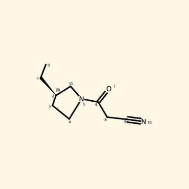 CC[C@@H]1CCN(C(=O)CC#N)C1